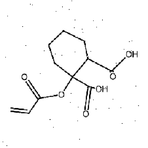 C=CC(=O)OC1(C(=O)O)CCCCC1C(=O)O